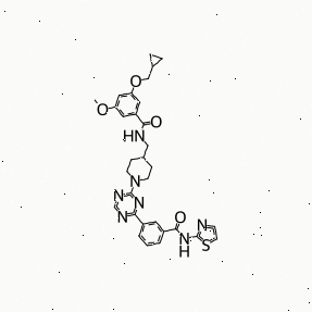 COc1cc(OCC2CC2)cc(C(=O)NCC2CCN(c3ncnc(-c4cccc(C(=O)Nc5nccs5)c4)n3)CC2)c1